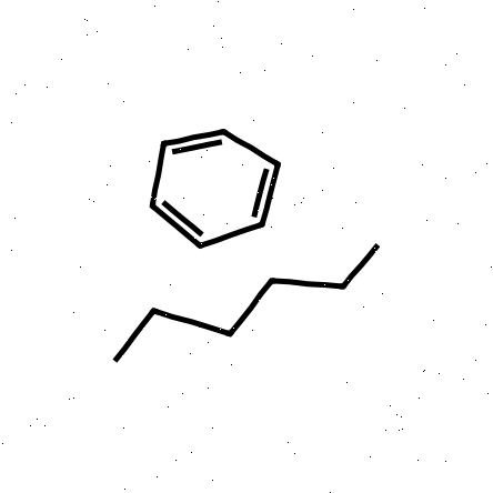 CCCCCC.c1ccccc1